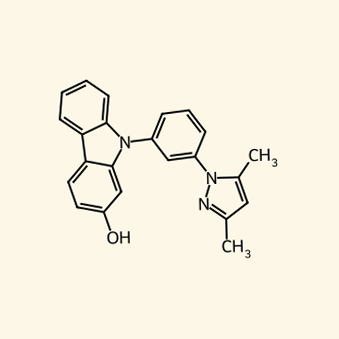 Cc1cc(C)n(-c2cccc(-n3c4ccccc4c4ccc(O)cc43)c2)n1